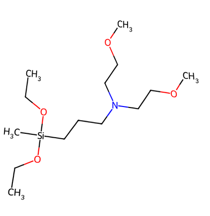 CCO[Si](C)(CCCN(CCOC)CCOC)OCC